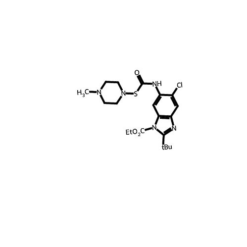 CCOC(=O)n1c(C(C)(C)C)nc2cc(Cl)c(NC(=O)SN3CCN(C)CC3)cc21